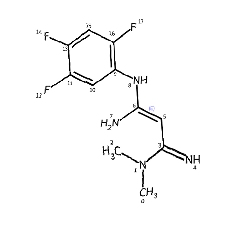 CN(C)C(=N)/C=C(\N)Nc1cc(F)c(F)cc1F